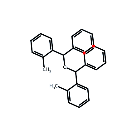 Cc1ccccc1C(OC(c1ccccc1)c1ccccc1C)c1ccccc1